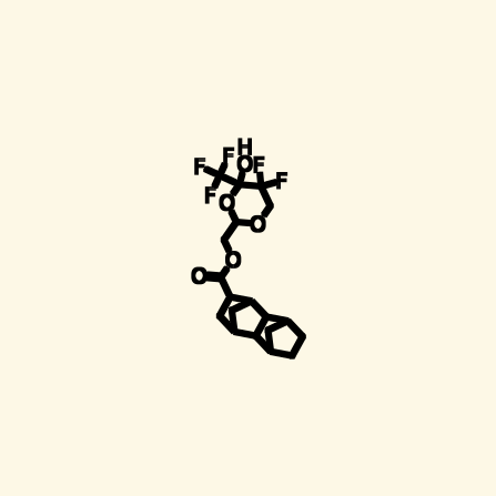 O=C(OCC1OCC(F)(F)C(O)(C(F)(F)F)O1)C1CC2CC1C1C3CCC(C3)C21